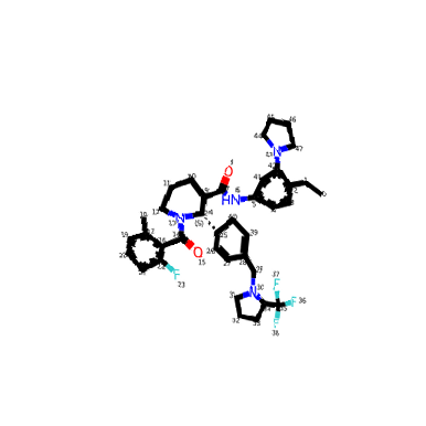 CCc1ccc(NC(=O)C2CCCN(C(=O)c3c(C)cccc3F)[C@H]2C2C=CC(CN3CCCC3C(F)(F)F)=CC2)cc1N1CCCC1